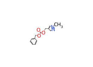 Cn1cc(COC(=O)OCc2ccccc2)cn1